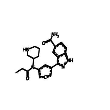 CCC(=O)N(c1cccc(-c2n[nH]c3ccc(C(N)=O)cc23)c1)C1CCCNC1